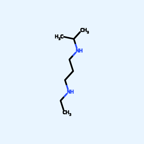 CCNCCCNC(C)C